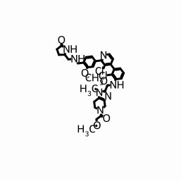 COCC(=O)N1CCc2c(nc(C(=O)Nc3cccc(-c4ccnc(-c5ccc(CNCC6CCC(=O)N6)c(OC)c5)c4Cl)c3Cl)n2C)C1